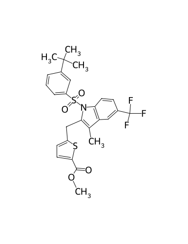 COC(=O)c1ccc(Cc2c(C)c3cc(C(F)(F)F)ccc3n2S(=O)(=O)c2cccc(C(C)(C)C)c2)s1